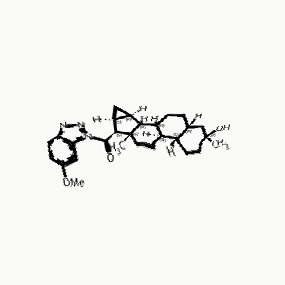 COc1ccc2nnn(C(=O)[C@H]3[C@H]4C[C@H]4[C@H]4[C@@H]5CC[C@@H]6C[C@](C)(O)CC[C@@H]6[C@H]5CC[C@@]43C)c2c1